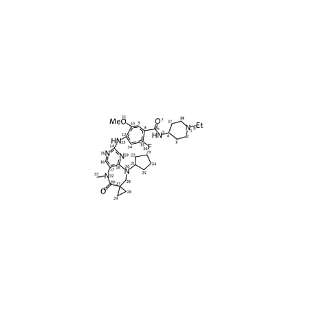 CCN1CCC(NC(=O)c2cc(OC)c(Nc3ncc4c(n3)N(C3CCCC3)CC3(CC3)C(=O)N4C)cc2F)CC1